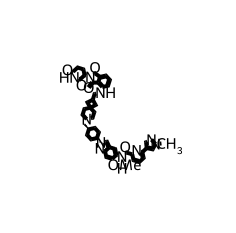 COc1cc2nn([C@H]3CC[C@H](CN4CCC5(CC4)CC(CNc4cccc6c4C(=O)N(C4CCC(=O)NC4=O)C6=O)C5)CC3)cc2cc1NC(=O)c1cccc(-c2cnn(C)c2)n1